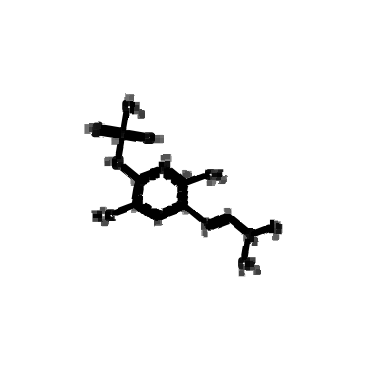 CCN(C)/C=N/c1cc(C)c(OS(C)(=O)=O)nc1C